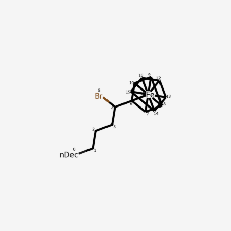 CCCCCCCCCCCCCC(Br)[C]12[CH]3[CH]4[CH]5[CH]1[Fe]45321678[CH]2[CH]1[CH]6[CH]7[CH]28